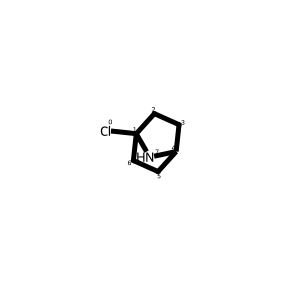 ClC12CCC(CC1)N2